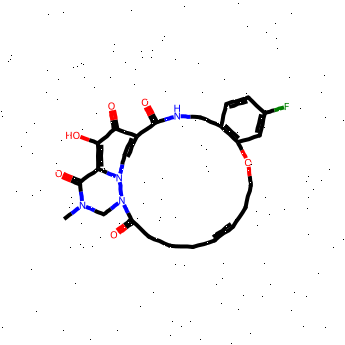 CN1CN2C(=O)CCC/C=C\CCOc3cc(F)ccc3CNC(=O)c3cn2c(c(O)c3=O)C1=O